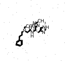 Cc1noc([C@H](Cc2c[nH]cn2)NC(=O)CN(CCCc2ccccc2)CC(=O)O)n1